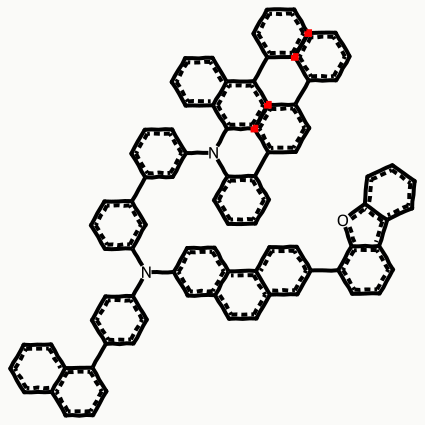 c1ccc(-c2ccc(-c3ccccc3N(c3cccc(-c4cccc(N(c5ccc(-c6cccc7ccccc67)cc5)c5ccc6c(ccc7cc(-c8cccc9c8oc8ccccc89)ccc76)c5)c4)c3)c3ccc(-c4ccccc4)c4ccccc34)cc2)cc1